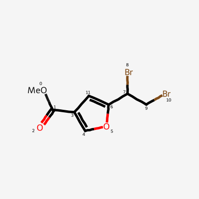 COC(=O)c1coc(C(Br)CBr)c1